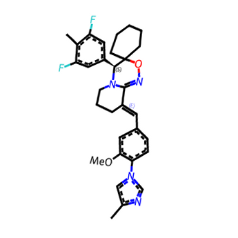 COc1cc(/C=C2\CCCN3C2=NOC2(CCCCC2)[C@@H]3c2cc(F)c(C)c(F)c2)ccc1-n1cnc(C)c1